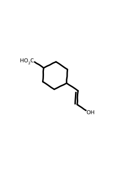 O=C(O)C1CCC(C=CO)CC1